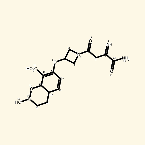 N=C(CC(=O)N1CC(OC2=C(C(=O)O)C3OB(O)CCC3C=C2)C1)C(N)=O